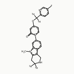 [2H]C1([2H])Cc2c(c3ccc(-n4ccc(OC([2H])([2H])c5ccc(F)cn5)cc4=O)cc3n2C)CN1